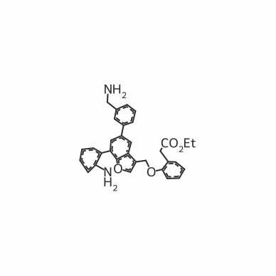 CCOC(=O)Cc1ccccc1OCc1coc2c(-c3ccccc3N)cc(-c3cccc(CN)c3)cc12